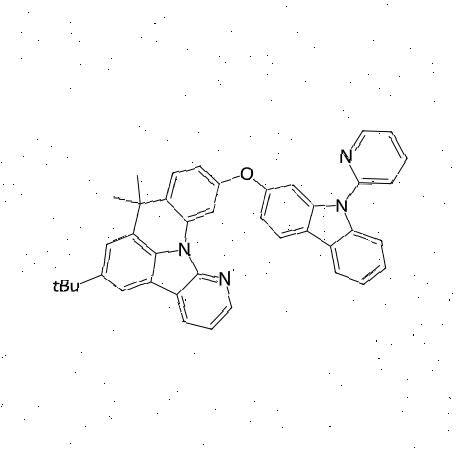 CC(C)(C)c1cc2c3c(c1)c1cccnc1n3-c1cc(Oc3ccc4c5ccccc5n(-c5ccccn5)c4c3)ccc1C2(C)C